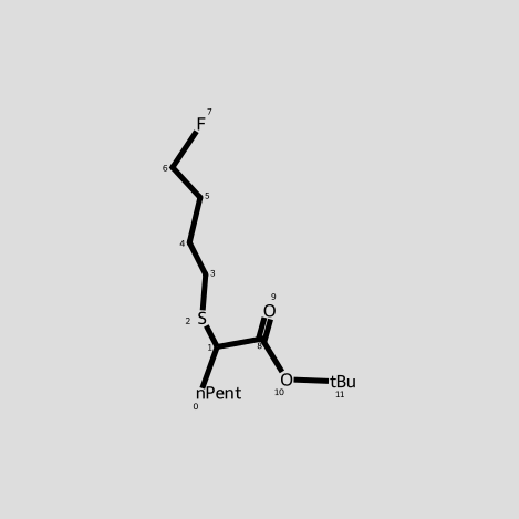 CCCCCC(SCCCCF)C(=O)OC(C)(C)C